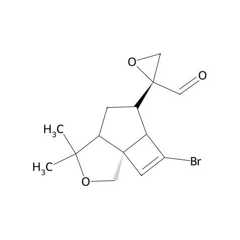 CC1(C)OC[C@@]23C=C(Br)C2C([C@]2(C=O)CO2)CC13